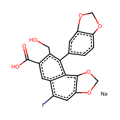 O=C(O)c1cc2c(I)cc3c(c2c(-c2ccc4c(c2)OCO4)c1CO)OCO3.[Na]